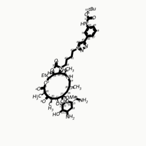 CC[C@H]1OC(=O)[C@H](C)C(=O)[C@H](C)[C@@H](O[C@@H]2O[C@H](CN)CC(N)C2O)[C@](C)(OC)C[C@@H](C)CN[C@H](C)[C@@H]2[C@@H]1OC(=O)N2CCCCn1cc(-c2cccc(NC(=O)OC(C)(C)C)c2)nn1